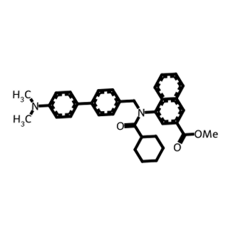 COC(=O)c1cc(N(Cc2ccc(-c3ccc(N(C)C)cc3)cc2)C(=O)C2CCCCC2)c2ccccc2c1